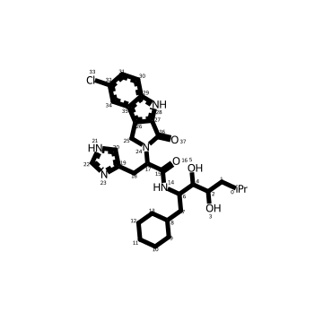 CC(C)CC(O)C(O)C(CC1CCCCC1)NC(=O)C(Cc1c[nH]cn1)N1Cc2c([nH]c3ccc(Cl)cc23)C1=O